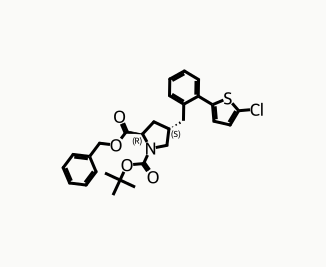 CC(C)(C)OC(=O)N1C[C@@H](Cc2ccccc2-c2ccc(Cl)s2)C[C@@H]1C(=O)OCc1ccccc1